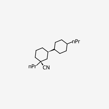 CCCC1CCC([C@@H]2CCC[C@@](C#N)(CCC)C2)CC1